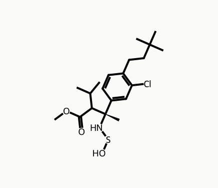 COC(=O)C(C(C)C)[C@@](C)(NSO)c1ccc(CCC(C)(C)C)c(Cl)c1